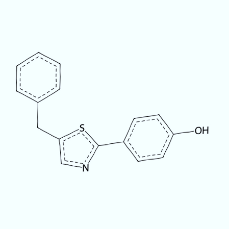 Oc1ccc(-c2ncc(Cc3ccccc3)s2)cc1